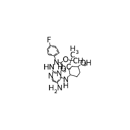 CC(C)(C)OC(=O)N(Nc1ncc(N)c(NC2CCC(O)CC2)n1)c1ccc(F)cc1